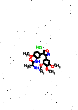 COc1ccc(-c2conc2-c2cc(OC)c(OC)c(OC)c2)cc1NC(=O)C(C)N.Cl